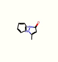 Cc1cc(=O)[nH][nH]1.c1ccccc1